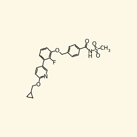 CS(=O)(=O)NC(=O)c1ccc(COc2cccc(-c3ccc(OCC4CC4)nc3)c2F)cc1